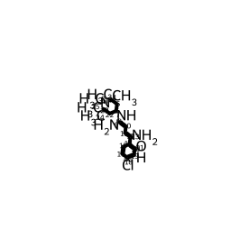 CN1C(C)(C)CC(N/C(N)=C/C=C(\N)c2ccc(Cl)cc2O)CC1(C)C